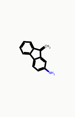 C=C1c2ccccc2-c2ccc(N)cc21